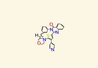 Cc1cccc(-n2c(-c3cc(-c4ccncc4)c(N4CCOCC4)s3)nc3ccccc3c2=O)c1